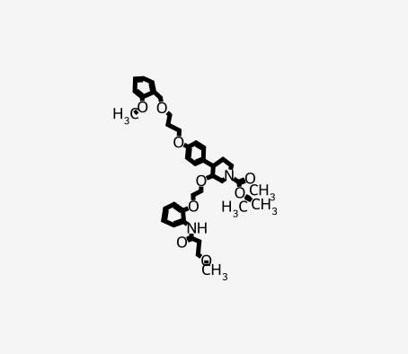 COCCC(=O)Nc1ccccc1OCCOC1CN(C(=O)OC(C)(C)C)CCC1c1ccc(OCCCOCc2ccccc2OC)cc1